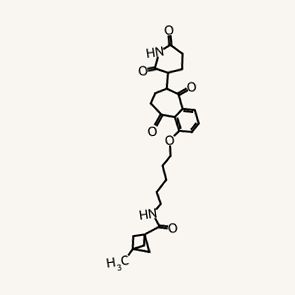 CC12CC(C(=O)NCCCCCOc3cccc4c3C(=O)CCC(C3CCC(=O)NC3=O)C4=O)(C1)C2